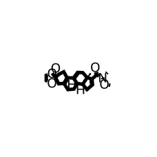 CON(C)C(=O)C1=CC[C@H]2[C@@H]3CCC4=C(CC(=O)C5(C4)OCCO5)C3=CC[C@]12C